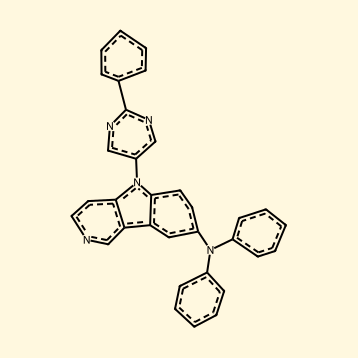 c1ccc(-c2ncc(-n3c4ccncc4c4cc(N(c5ccccc5)c5ccccc5)ccc43)cn2)cc1